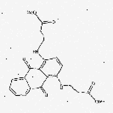 COC(=O)CCNc1ccc(NCCC(=O)OC)c2c1C(=O)c1ccccc1C2=O